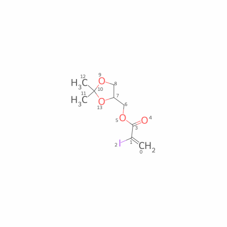 C=C(I)C(=O)OCC1COC(C)(C)O1